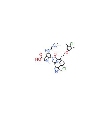 Cc1cc(OCCCc2c3n(c4c(-c5c(C)nn(C)c5C)c(Cl)ccc24)[C@H](C)CN(c2cc(NCCN4CCCC4)cc4c(C(=O)O)cn(C)c24)C3=O)cc(C)c1Cl